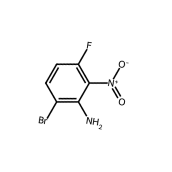 Nc1c(Br)ccc(F)c1[N+](=O)[O-]